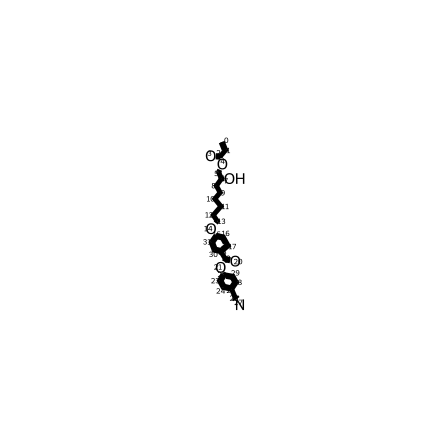 C=CC(=O)OCC(O)CCCCCCOc1ccc(C(=O)Oc2ccc(C#N)cc2)cc1